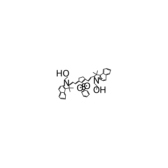 CC1(C)C(/C=C/C2=C(S(=O)(=O)c3ccccc3)C(=C/C=C3/N(CCO)c4ccc5ccccc5c4C3(C)C)/CC2)=[N+](CCO)c2ccc3ccccc3c21